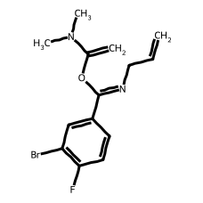 C=CC/N=C(\OC(=C)N(C)C)c1ccc(F)c(Br)c1